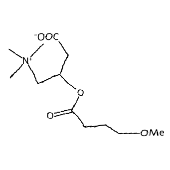 COCCCC(=O)OC(CC(=O)[O-])C[N+](C)(C)C